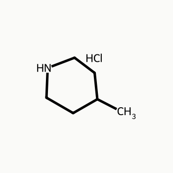 CC1CCNCC1.Cl